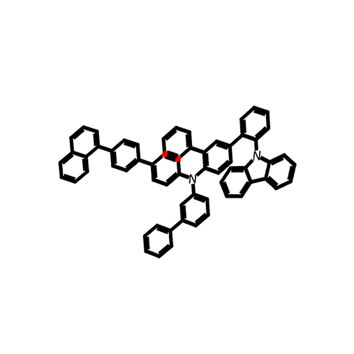 c1ccc(-c2cccc(N(c3ccc(-c4ccc(-c5cccc6ccccc56)cc4)cc3)c3ccc(-c4ccccc4-n4c5ccccc5c5ccccc54)cc3-c3ccccc3)c2)cc1